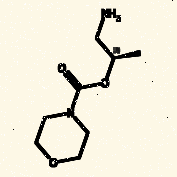 C[C@H](CN)OC(=O)N1CCOCC1